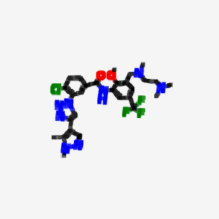 COc1c(CN(C)CCN(C)C)cc(C(F)(F)F)cc1NC(=O)c1ccc(Cl)c(-n2cc(-c3cnn(C)c3C)nn2)c1